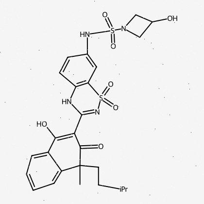 CC(C)CCC1(C)C(=O)C(C2=NS(=O)(=O)c3cc(NS(=O)(=O)N4CC(O)C4)ccc3N2)=C(O)c2ccccc21